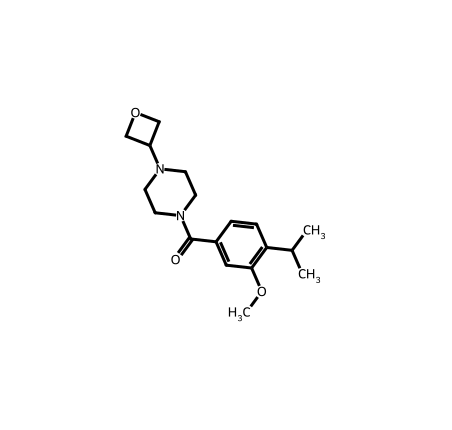 COc1cc(C(=O)N2CCN(C3COC3)CC2)ccc1C(C)C